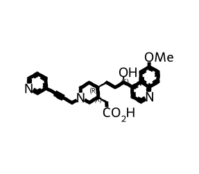 COc1ccc2nccc([C@@H](O)CC[C@@H]3CCN(CC#Cc4cccnc4)C[C@@H]3CC(=O)O)c2c1